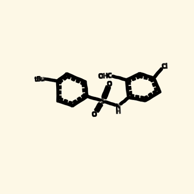 CC(C)(C)c1ccc(S(=O)(=O)Nc2ccc(Cl)cc2C=O)cc1